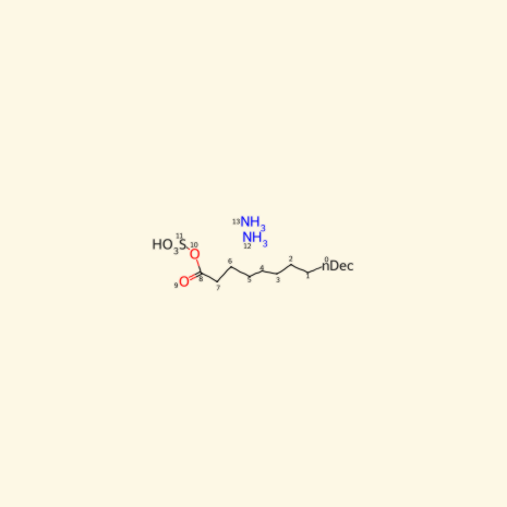 CCCCCCCCCCCCCCCCCC(=O)OS(=O)(=O)O.N.N